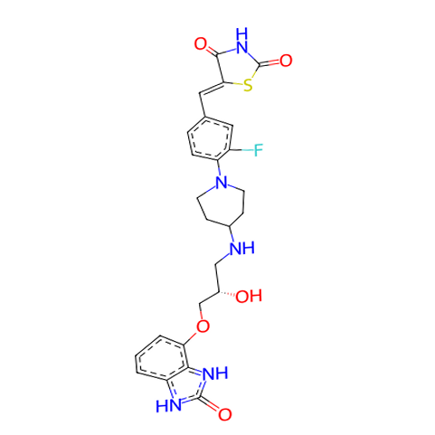 O=C1NC(=O)/C(=C/c2ccc(N3CCC(NC[C@H](O)COc4cccc5[nH]c(=O)[nH]c45)CC3)c(F)c2)S1